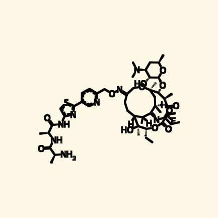 CCC(=O)/N=C1\[C@H](C)C[C@@]2(C)OC/C(=N/OCc3ccc(-c4nc(NC(=O)[C@H](C)NC(=O)[C@H](C)N)cs4)cn3)CC[C@H]([C@H]1C)[C@](C)(O)[C@@H](CC)OC(=O)[C@@](C)(F)C(=O)[C@H](C)[C@H]2O[C@@H]1O[C@H](C)C[C@H](N(C)C)[C@H]1O